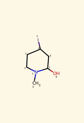 CN1CCC(I)CC1O